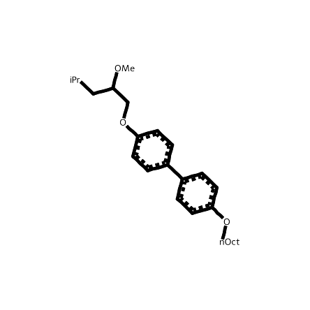 CCCCCCCCOc1ccc(-c2ccc(OCC(CC(C)C)OC)cc2)cc1